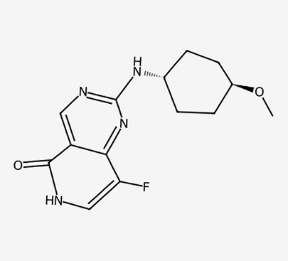 CO[C@H]1CC[C@H](Nc2ncc3c(=O)[nH]cc(F)c3n2)CC1